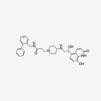 O=C(CCN1CCC(NCC(O)c2ccc(O)c3[nH]c(=O)ccc23)CC1)NCc1ccccc1-c1ccccc1